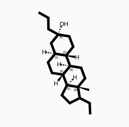 CCC[C@@]1(O)CC[C@H]2[C@@H](CC[C@@H]3[C@@H]2CC[C@]2(C)C(CC)CC[C@@H]32)C1